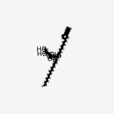 CCCCCCCCCCCCCCOC[C@H](COP(=O)(O)OC[C@@H](O)CO)OCCCCCCCCC1CCC2C(C1)C1C3CCC3C21